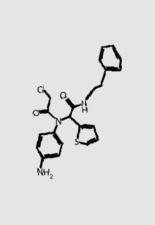 Nc1ccc(N(C(=O)CCl)C(C(=O)NCCc2ccccc2)c2cccs2)cc1